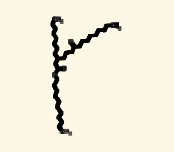 CCCCCCCCCCCOC(=O)CC(CCCCCCCC)CCCC(=O)CCCCCCCCC